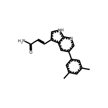 Cc1cc(C)cc(-c2cnc3[nH]cc(/C=C/C(N)=O)c3c2)c1